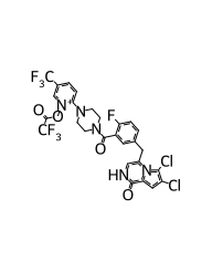 O=C(c1cc(Cc2c[nH]c(=O)c3cc(Cl)c(Cl)n23)ccc1F)N1CCN(c2ccc(C(F)(F)F)c[n+]2OC(=O)C(F)(F)F)CC1